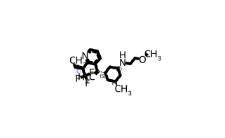 C=C(c1cccnc1/C(=C\C)C(F)(F)F)[C@H]1C[C@@H](C)C[C@@H](NCCOC)C1